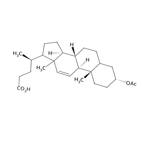 CC(=O)O[C@@H]1CC[C@@]2(C)C(CC[C@H]3[C@@H]4CCC([C@H](C)CCC(=O)O)C4(C)C=C[C@@H]32)C1